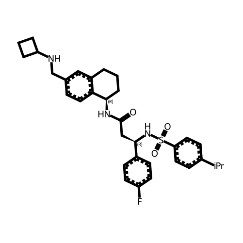 CC(C)c1ccc(S(=O)(=O)N[C@H](CC(=O)N[C@@H]2CCCc3cc(CNC4CCC4)ccc32)c2ccc(F)cc2)cc1